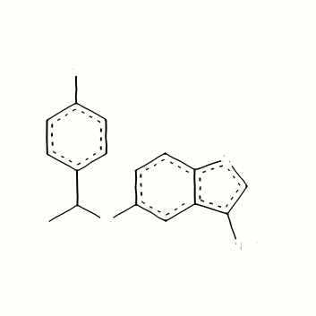 CC(=O)Nc1c[nH]c2ccc(OC(C)c3ccc(C(F)(F)F)cc3)cc12